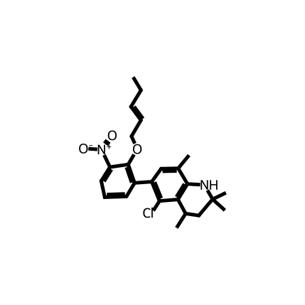 CCC=CCOc1c(-c2cc(C)c3c(c2Cl)C(C)CC(C)(C)N3)cccc1[N+](=O)[O-]